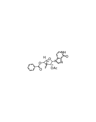 CC(=O)O[C@H]1C(n2cnc3c(=O)[nH]ccc32)O[C@@H]2C(OC(=O)c3ccccc3)[C@]21F